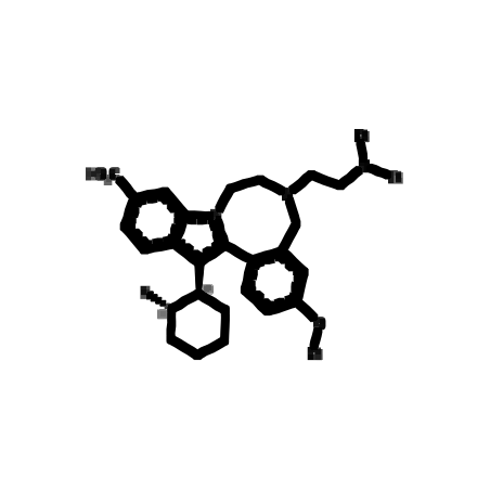 CCOc1ccc2c(c1)CN(CCN(CC)CC)CCn1c-2c([C@H]2CCCC[C@@H]2F)c2ccc(C(=O)O)cc21